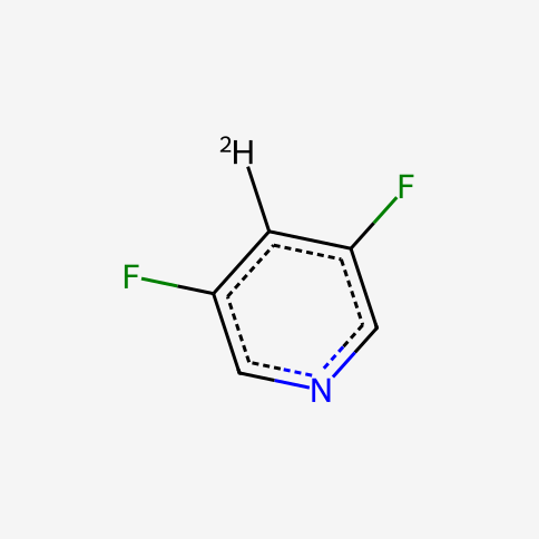 [2H]c1c(F)cncc1F